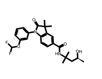 C[C@H](O)CC(C)(C)NC(=O)c1ccc2c(c1)C(C)(C)C(=O)N2c1cccc(OC(F)F)c1